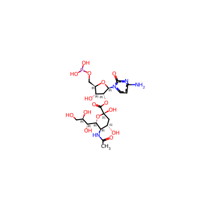 CC(=O)N[C@H]1[C@H]([C@H](O)[C@H](O)CO)O[C@](O)(C(=O)O[C@@H]2[C@H](O)[C@@H](COP(O)O)O[C@H]2n2ccc(N)nc2=O)C[C@@H]1O